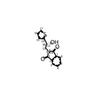 O=C1c2ccccc2C(=O)N1C[C@@H](O)c1cccs1